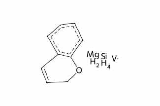 C1=Cc2ccccc2OC1.[MgH2].[SiH4].[V]